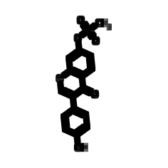 CS(=O)(=O)Oc1ccc2c(=O)c(-c3ccc(O)cc3)coc2c1